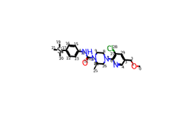 COCc1cnc(N2CCN(C(=O)Nc3ccc([Si](C)(C)C)cc3)[C@H](C)C2)c(Cl)c1